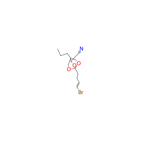 CCCC12COC(CC/C=C/Br)(OC1)OC2C#N